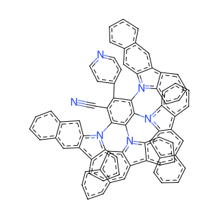 N#Cc1c(-c2ccncc2)c(-n2c3ccccc3c3cc4ccccc4cc32)c(-n2c3ccccc3c3cc4ccccc4cc32)c(-n2c3ccccc3c3cc4ccccc4cc32)c1-n1c2ccccc2c2cc3ccccc3cc21